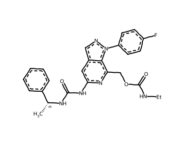 CCNC(=O)OCc1nc(NC(=O)N[C@H](C)c2ccccc2)cc2cnn(-c3ccc(F)cc3)c12